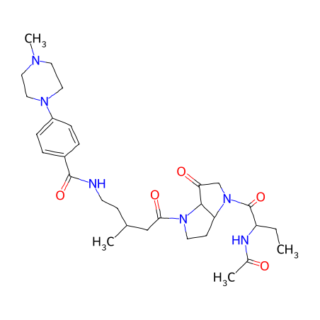 CCC(NC(C)=O)C(=O)N1CC(=O)C2C1CCN2C(=O)CC(C)CCNC(=O)c1ccc(N2CCN(C)CC2)cc1